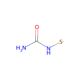 NC(=O)N[S]